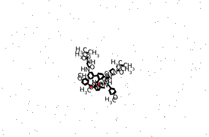 COc1ccc(CN(Cc2ccc(OC)cc2)S(=O)(=O)c2c(S(=O)(=O)N[C@@H]3CCN(C(=O)OC(C)(C)C)C3)ccc(C3=CC(NC(=O)CNC(=O)OC(C)(C)C)CCC3)c2-c2nnn(Cc3ccc(OC)cc3)n2)cc1